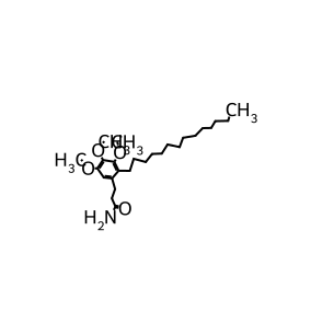 CCCCCCCCCCCCCCc1c(CCC(N)=O)cc(OC)c(OC)c1OC